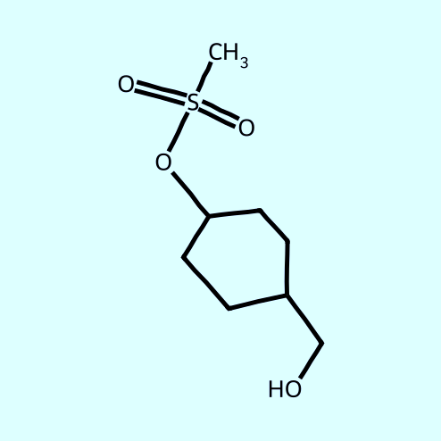 CS(=O)(=O)OC1CCC(CO)CC1